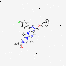 COC(=O)N1C[C@@H](C)N(c2ncc3c(n2)c(-c2ccc(Cl)cc2)nn3COCC[Si](C)(C)C)[C@@H](C)C1